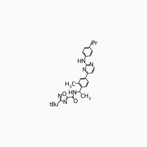 Cc1cc(-c2ccnc(Nc3ccc(C(C)C)cc3)n2)ccc1[C@@H](C)NC(=O)c1nc(C(C)(C)C)no1